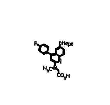 CCCCCCCc1ccc2nc(N(C)CC(=O)O)cc(-c3ccc(F)cc3)c2c1